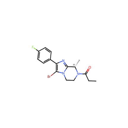 CCC(=O)N1CCn2c(nc(-c3ccc(F)cc3)c2Br)[C@@H]1C